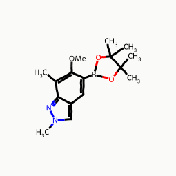 COc1c(B2OC(C)(C)C(C)(C)O2)cc2cn(C)nc2c1C